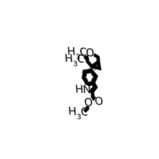 CCOC(=O)c1cc2cc([C@]34CC3COC(C)(C)C4)ccc2[nH]1